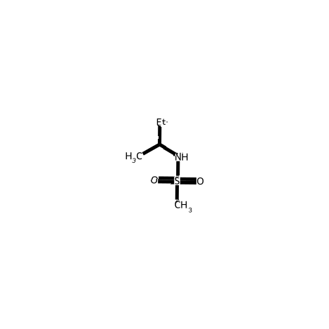 C[CH]C(C)NS(C)(=O)=O